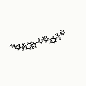 CNS(=O)(=O)c1cccc(OC[C@@H](O)CNC2COC3(CCN(S(=O)(=O)c4ccn(C)n4)CC3)C2)c1